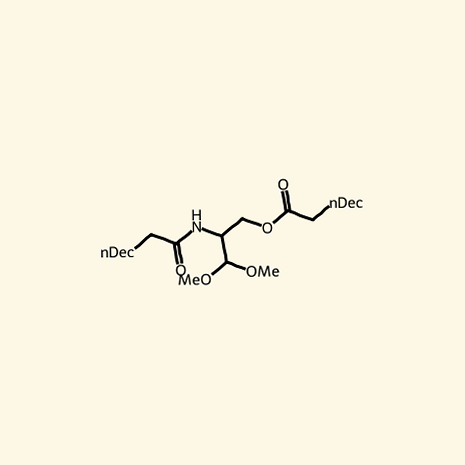 CCCCCCCCCCCC(=O)NC(COC(=O)CCCCCCCCCCC)C(OC)OC